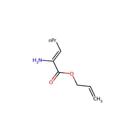 C=CCOC(=O)C(N)=CCCC